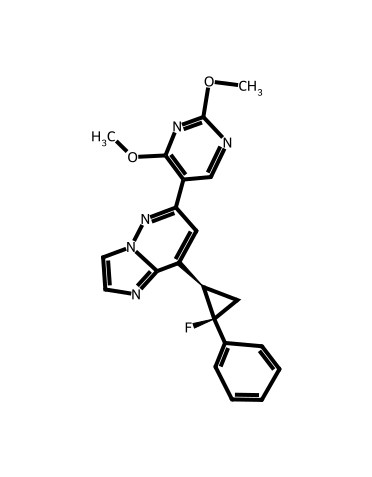 COc1ncc(-c2cc([C@H]3C[C@]3(F)c3ccccc3)c3nccn3n2)c(OC)n1